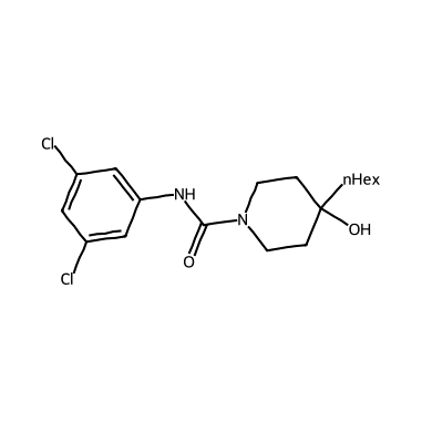 CCCCCCC1(O)CCN(C(=O)Nc2cc(Cl)cc(Cl)c2)CC1